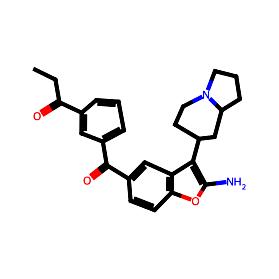 CCC(=O)c1cccc(C(=O)c2ccc3oc(N)c(C4CCN5CCCC5C4)c3c2)c1